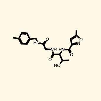 Cc1ccc(CNC(=O)CNC(=O)C(NC(=O)c2cc(C)on2)C(C)O)cc1